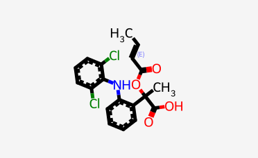 C/C=C/C(=O)OC(C)(C(=O)O)c1ccccc1Nc1c(Cl)cccc1Cl